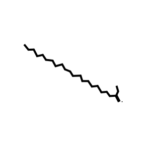 [CH]=C(CC)CCCCCCCCCCCCCCCCCCCC